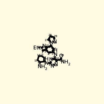 CCn1cc2cc(Nc3nc(N[C@@H]4CCCC[C@@H]4N)nnc3C(N)=O)cc(-n3cccn3)c2n1